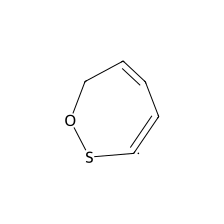 [C]1=CC=CCOS1